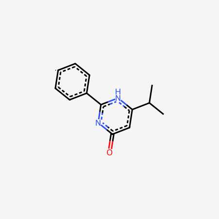 CC(C)c1cc(=O)nc(-c2cc[c]cc2)[nH]1